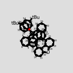 CC(C)(C)c1cc(-c2c3ccccc3c(-c3cccc4oc5cccc(-c6c7ccccc7c(-c7ccccc7)c7ccccc67)c5c34)c3ccccc23)cc(C(C)(C)C)c1